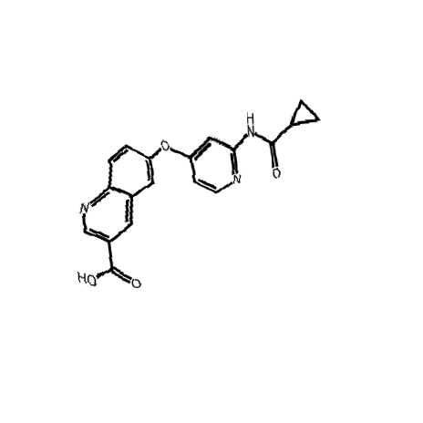 O=C(O)c1cnc2ccc(Oc3ccnc(NC(=O)C4CC4)c3)cc2c1